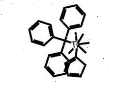 [CH3][Ti]([CH3])([CH3])([CH3])([CH3])([C]1=CC=CC1)[C](c1ccccc1)(c1ccccc1)c1ccccc1